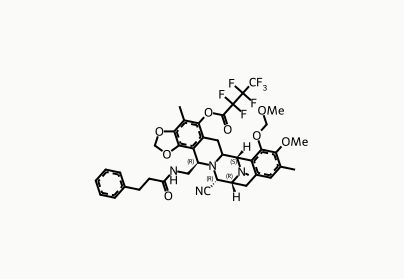 COCOc1c(OC)c(C)cc2c1[C@H]1C3Cc4c(OC(=O)C(F)(F)C(F)(F)C(F)(F)F)c(C)c5c(c4[C@H](CNC(=O)CCc4ccccc4)N3[C@@H](C#N)[C@@H](C2)N1C)OCO5